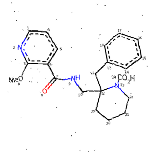 COc1ncccc1C(=O)NCC1(Cc2ccccc2)CCCCN1C(=O)O